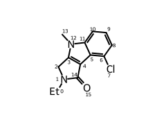 CCN1Cc2c(c3c(Cl)cccc3n2C)C1=O